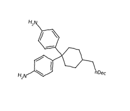 CCCCCCCCCCCC1CCC(c2ccc(N)cc2)(c2ccc(N)cc2)CC1